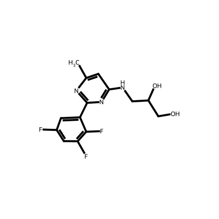 Cc1cc(NCC(O)CO)nc(-c2cc(F)cc(F)c2F)n1